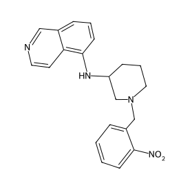 O=[N+]([O-])c1ccccc1CN1CCCC(Nc2cccc3cnccc23)C1